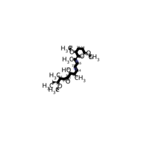 CC[C@H](OC)[C@@H](C)[C@H]1O[C@@H]1[C@H](O)[C@@H](C)/C=C/C=C(\C)[C@@H]1O[C@H](OC)CC[C@@H]1OC